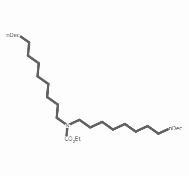 CCCCCCCCCCCCCCCCCCN(CCCCCCCCCCCCCCCCCC)C(=O)OCC